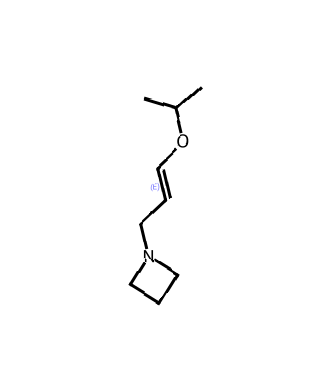 CC(C)O/C=C/CN1CCC1